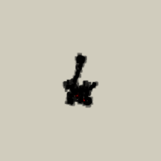 C=CCC[C@@](OCc1ccccc1)(c1nnc(-c2nc(OCCC=CCOCc3ccccc3)c(C(F)(F)F)cc2N(C(=O)OC(C)(C)C)C(=O)OC(C)(C)C)o1)C(F)(F)F